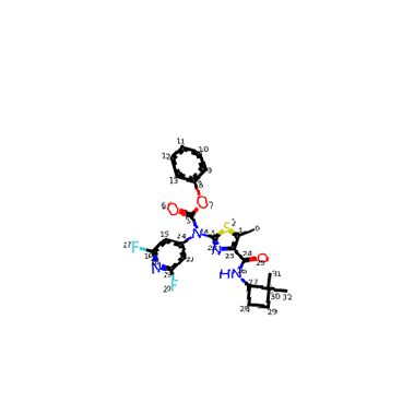 Cc1sc(N(C(=O)Oc2ccccc2)c2cc(F)nc(F)c2)nc1C(=O)NC1CCC1(C)C